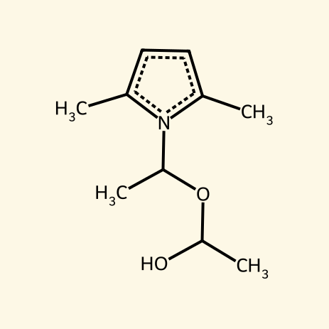 Cc1ccc(C)n1C(C)OC(C)O